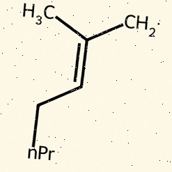 [CH2]C(C)=CCCCC